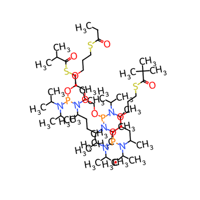 CCC(=O)SCCCOCOP(N(C(C)C)C(C)C)N(C(C)C)C(C)CCC(C)N(C(C)C)P(OCOCCCSC(=O)C(C)C)N(C(C)C)C(C)CCC(C)N(C(C)C)P(OCOCCCSC(=O)C(C)(C)C)N(C(C)C)C(C)C